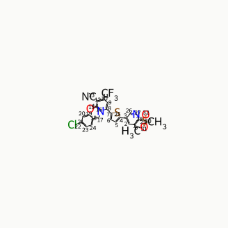 Cc1cc(-c2ccc(-c3cc(C(F)(F)F)c(C#N)c(=O)n3Cc3ccc(Cl)cc3)s2)cnc1S(C)(=O)=O